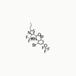 CCCc1nc(C(F)(F)F)c(C(=O)Nc2c(Br)cc(OC(F)(F)F)cc2Br)s1